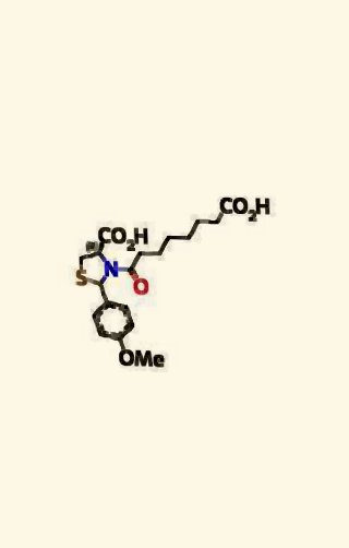 COc1ccc(C2SC[C@@H](C(=O)O)N2C(=O)CCCCCCC(=O)O)cc1